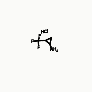 Cl.NC1CC1C(F)(F)F